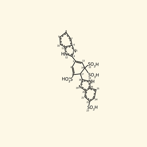 O=S(=O)(O)C1=CC(c2nc3ccccc3[nH]2)=CC(S(=O)(=O)O)(S(=O)(=O)O)C1c1nc2cc(S(=O)(=O)O)ccc2[nH]1